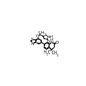 C[C@@H](Oc1cc(-c2ccc3c(c2)NC(=O)CC3(C)C)cc2ncsc12)[C@H]1CNC(=O)C1